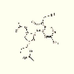 C#CCn1c(=O)n([C@@H]2O[C@H](C(CC)OC(C)=O)C[C@H]2OC(C)=O)c2nc(N)ncc21